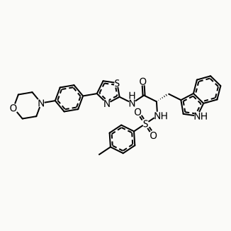 Cc1ccc(S(=O)(=O)N[C@@H](Cc2c[nH]c3ccccc23)C(=O)Nc2nc(-c3ccc(N4CCOCC4)cc3)cs2)cc1